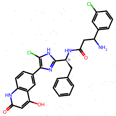 NC(CC(=O)N[C@@H](Cc1ccccc1)c1nc(-c2ccc3[nH]c(=O)cc(O)c3c2)c(Cl)[nH]1)c1cccc(Cl)c1